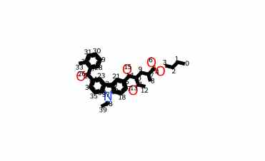 CCCCOC(=O)C(C)CC(C(C)=O)C(=O)c1ccc2c(c1)c1cc(C(=O)c3ccccc3C)ccc1n2CC